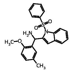 COc1ccc(C)cc1C(N)c1cc2ccccc2n1S(=O)(=O)c1ccccc1